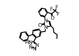 CCCCc1cn(-c2ccccc2C(=O)C(F)(F)F)c(=O)n1Cc1ccc(-c2ccccc2)c(-c2nnn[nH]2)c1